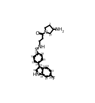 NC1CCN(C(=O)CCNSc2ccc(-c3c[nH]c4cc(F)ccc34)cc2)C1